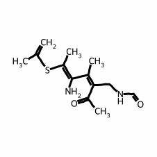 C=C(C)S/C(C)=C(N)/C(C)=C(/CNC=O)C(C)=O